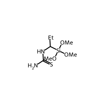 CCC(NC(N)=S)[Si](OC)(OC)OC